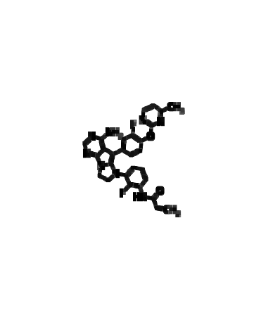 C=CC(=O)Nc1cccc(N2CCn3c2c(-c2ccc(Oc4nccc(C)n4)c(F)c2)c2c(N)ncnc23)c1F